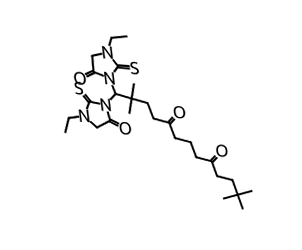 CCN1CC(=O)N(C(N2C(=O)CN(CC)C2=S)C(C)(C)CCC(=O)CCCC(=O)CCC(C)(C)C)C1=S